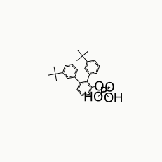 CC(C)(C)c1cccc(-c2cccc(OP(=O)(O)O)c2-c2cccc(C(C)(C)C)c2)c1